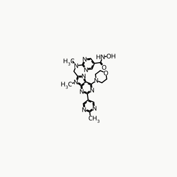 Cc1ncc(-c2nc(N3CCOCC3)c3nc(CN(C)c4ncc(C(=O)NO)cn4)n(C)c3n2)cn1